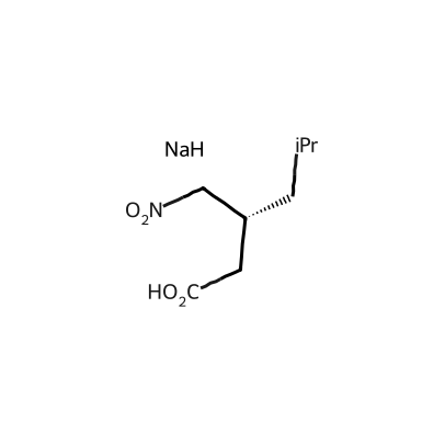 CC(C)C[C@H](CC(=O)O)C[N+](=O)[O-].[NaH]